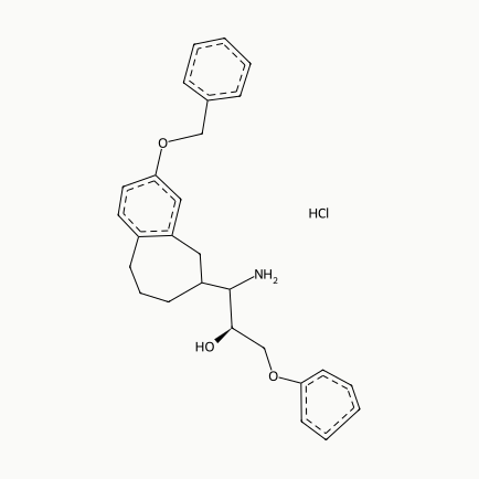 Cl.NC(C1CCCc2ccc(OCc3ccccc3)cc2C1)[C@H](O)COc1ccccc1